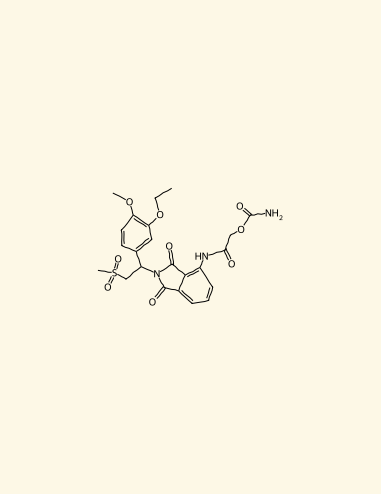 CCOc1cc(C(CS(C)(=O)=O)N2C(=O)c3cccc(NC(=O)COC(N)=O)c3C2=O)ccc1OC